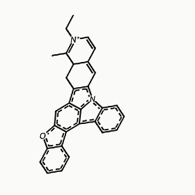 CC[N+]1=C(C)C2Cc3c(n4c5ccccc5c5c6c(cc3c54)oc3ccccc36)C=C2C=C1